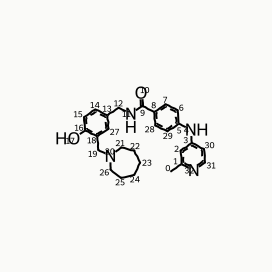 Cc1cc(Nc2ccc(C(=O)NCc3ccc(O)c(CN4CCCCCC4)c3)cc2)ccn1